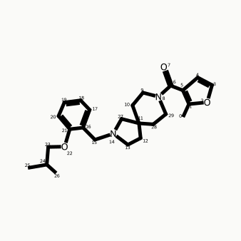 Cc1occc1C(=O)N1CCC2(CCN(Cc3ccccc3OCC(C)C)C2)CC1